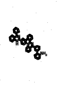 Nc1ccccc1-c1cccc(-c2nc(-c3ccccc3-c3cccc(C4N=C(c5ccccc5)c5ccccc5N4)c3)nc3ccccc23)c1